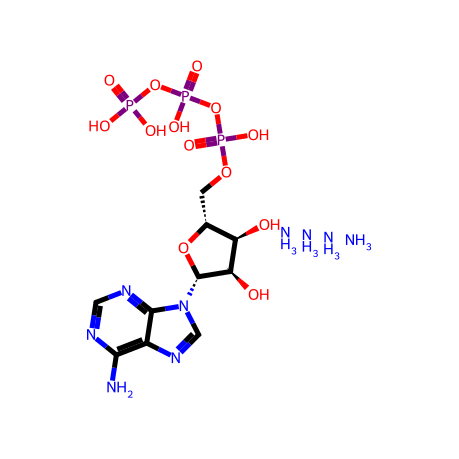 N.N.N.N.Nc1ncnc2c1ncn2[C@@H]1O[C@H](COP(=O)(O)OP(=O)(O)OP(=O)(O)O)[C@@H](O)[C@H]1O